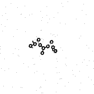 CCc1ccccc1-c1ccc(N(c2ccccc2)c2ccc(-c3cc(-c4ccccc4)cc(-c4ccc(N(c5ccccc5)c5ccc6c(c5)C(C)(C)c5ccccc5-6)cc4)c3)cc2)cc1CC